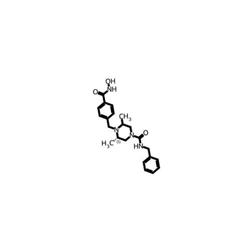 CC1CN(C(=O)NCc2ccccc2)C[C@H](C)N1Cc1ccc(C(=O)NO)cc1